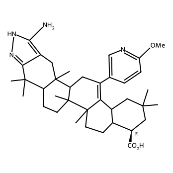 COc1ccc(C2=C3C4CC(C)(C)C[C@@H](C(=O)O)C4CCC3(C)C3(C)CCC4C(C)(C)c5n[nH]c(N)c5CC4(C)C3C2)cn1